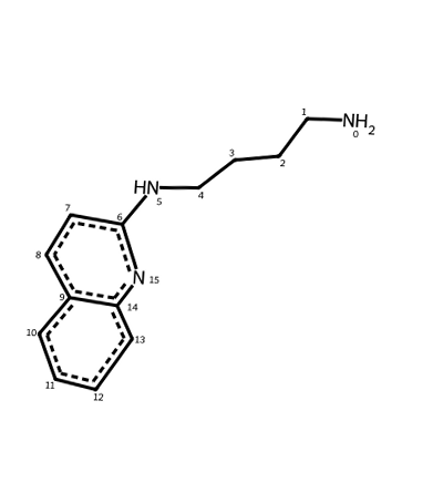 NCCCCNc1ccc2ccccc2n1